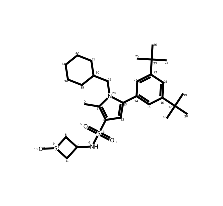 Cc1c(S(=O)(=O)NC2C[S+]([O-])C2)cc(-c2cc(C(C)(C)C)cc(C(C)(C)C)c2)n1CC1CCCCC1